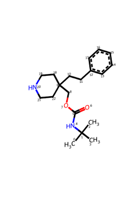 CC(C)(C)NC(=O)OCC1(CCc2ccccc2)CCNCC1